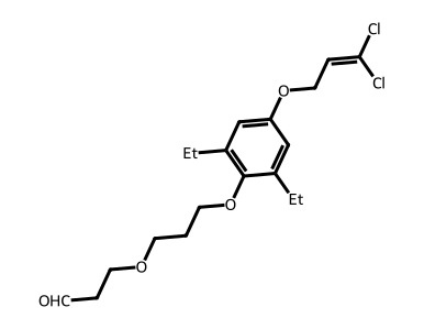 CCc1cc(OCC=C(Cl)Cl)cc(CC)c1OCCCOCCC=O